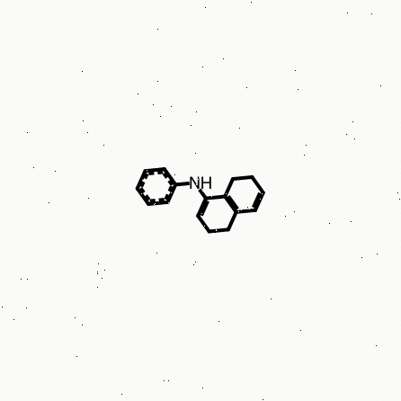 C1=CC2=C(CC1)C(Nc1ccccc1)=CCC2